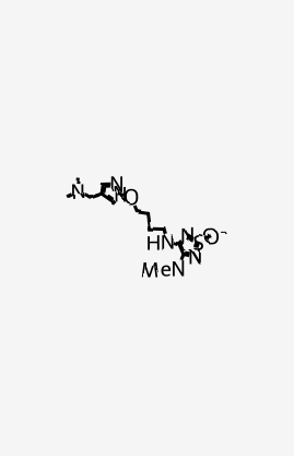 CNc1n[s+]([O-])nc1NCCCCOn1cc(CN(C)C)cn1